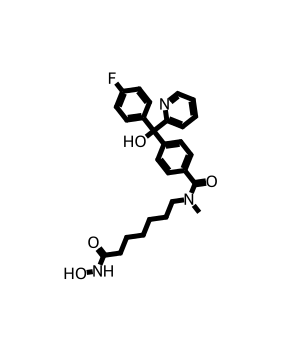 CN(CCCCCCC(=O)NO)C(=O)c1ccc(C(O)(c2ccc(F)cc2)c2ccccn2)cc1